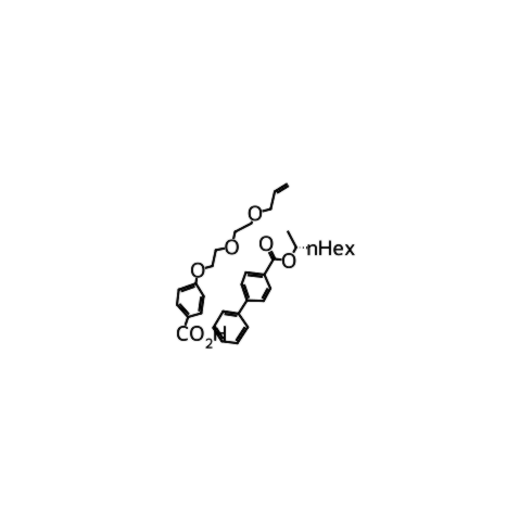 C=CCOCCOCCOc1ccc(C(=O)O)cc1.CCCCCC[C@@H](C)OC(=O)c1ccc(-c2ccccc2)cc1